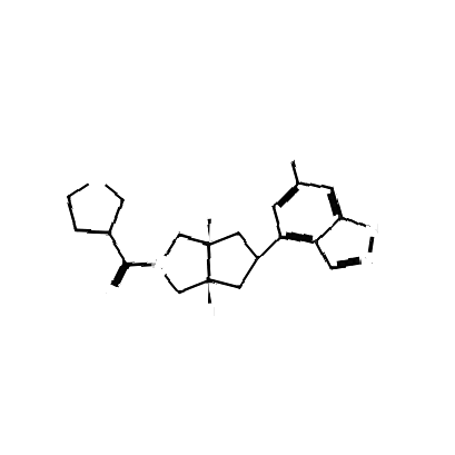 O=C(C1CCOC1)N1C[C@@H]2C[C@@](O)(c3cc(Cl)cc4[nH]ncc34)C[C@@H]2C1